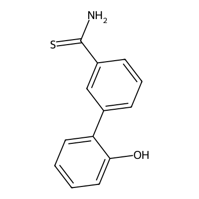 NC(=S)c1cccc(-c2ccccc2O)c1